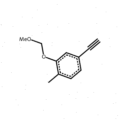 C#Cc1ccc(C)c(OCOC)c1